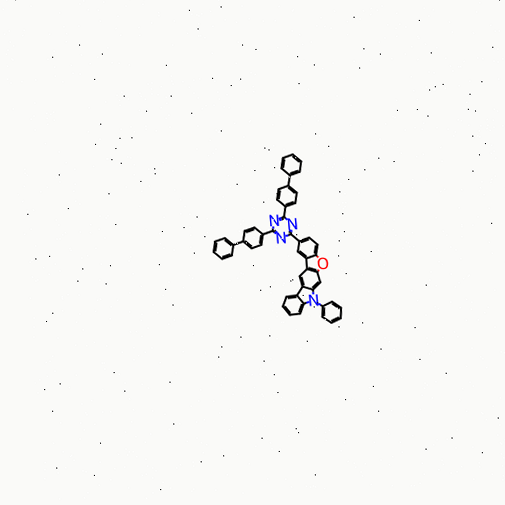 c1ccc(-c2ccc(-c3nc(-c4ccc(-c5ccccc5)cc4)nc(-c4ccc5oc6cc7c(cc6c5c4)c4ccccc4n7-c4ccccc4)n3)cc2)cc1